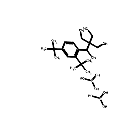 CC(C)(C)c1ccc(C(O)C(CO)(CO)CO)c(C(C)(C)C)c1.OP(O)O.OP(O)O